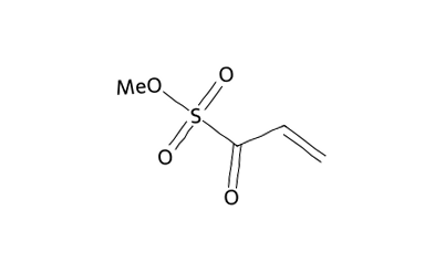 C=CC(=O)S(=O)(=O)OC